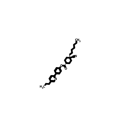 CCCCCCC[C@]1(C#N)CC[C@H](C(=O)Oc2ccc(-c3ccc(CCC)cn3)cc2)CC1